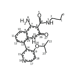 CCCNC(=O)c1c(N)c2cccc(-c3cnccc3OC(C)C)c2[nH]c1=O